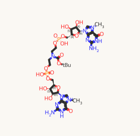 C[n+]1cn([C@@H]2O[C@H](COP(=O)(O)OCCN(CCOP(=O)(O)OC[C@H]3O[C@@H](n4c[n+](C)c5c(=O)[nH]c(N)nc54)[C@H](O)[C@@H]3O)C(=O)OC(C)(C)C)[C@@H](O)[C@H]2O)c2nc(N)[nH]c(=O)c21